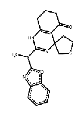 CN(C1=NC2(CCSC2)C2=C(CCCC2=O)N1)c1nc2ccccc2o1